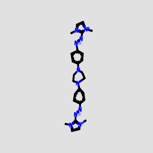 Cn1cc[n+](C)c1/N=N/c1ccc(N2CCN(c3ccc(/N=N/c4n(C)cc[n+]4C)cc3)CC2)cc1